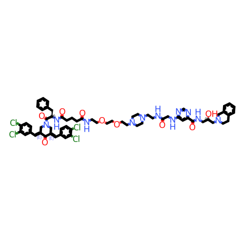 O=C(CCCC(=O)N[C@H](Cc1ccccc1)C(=O)N1C/C(=C\c2ccc(Cl)c(Cl)c2)C(=O)/C(=C/c2ccc(Cl)c(Cl)c2)C1)NCCOCCOCCN1CCN(CCNC(=O)CNc2cc(C(=O)NC[C@H](O)CN3CCc4ccccc4C3)ncn2)CC1